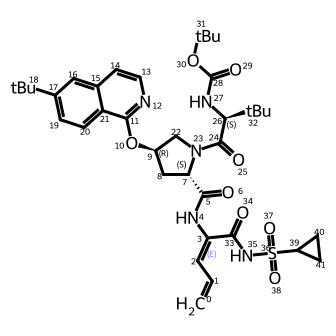 C=C/C=C(/NC(=O)[C@@H]1C[C@@H](Oc2nccc3cc(C(C)(C)C)ccc23)CN1C(=O)[C@@H](NC(=O)OC(C)(C)C)C(C)(C)C)C(=O)NS(=O)(=O)C1CC1